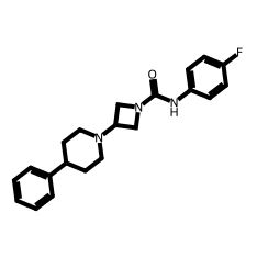 O=C(Nc1ccc(F)cc1)N1CC(N2CCC(c3ccccc3)CC2)C1